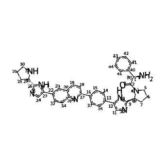 N[C@@H](C(=O)N1CCC[C@H]1c1ncc(-c2ccc(-c3ccc4cc(-c5cnc([C@@H]6CCCN6)[nH]5)ccc4n3)cc2)[nH]1)c1ccccc1